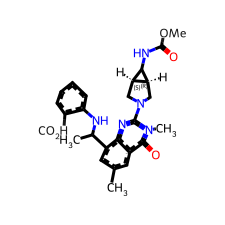 COC(=O)NC1[C@H]2CN(c3nc4c(C(C)Nc5ccccc5C(=O)O)cc(C)cc4c(=O)n3C)C[C@@H]12